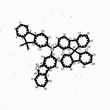 CC1(C)c2ccccc2-c2ccc(N(c3ccc4c(c3)C3(c5ccccc5-c5ccccc53)c3ccccc3-4)c3ccc4c(c3)oc3ccccc34)cc21